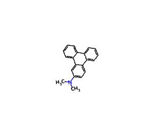 CN(C)c1ccc2c3ccccc3c3ccccc3c2c1